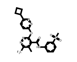 Cc1c(C(F)(F)F)nnc(Oc2ccc(C3CCC3)nn2)c1C(=O)Nc1cccc(S(C)(=O)=O)c1